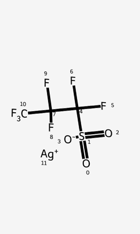 O=S(=O)([O-])C(F)(F)C(F)(F)C(F)(F)F.[Ag+]